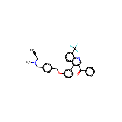 C#CCN(C)Cc1ccc(COc2cccc(-c3c(C(=O)c4ccccc4)cnc4c(C(F)(F)F)cccc34)c2)cc1